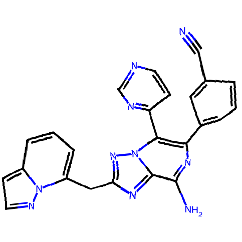 N#Cc1cccc(-c2nc(N)c3nc(Cc4cccc5ccnn45)nn3c2-c2ccncn2)c1